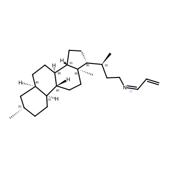 C=C/C=N\CC[C@H](C)[C@H]1CC[C@H]2[C@@H]3CC[C@@H]4C[C@@H](C)CC[C@@H]4[C@H]3CC[C@]12C